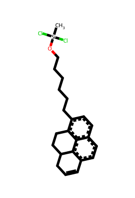 C[Si](Cl)(Cl)OCCCCCCc1ccc2ccc3c4c2c1CCC4CC=C3